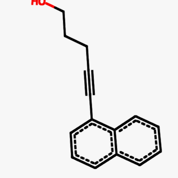 OCCCC#Cc1cccc2ccccc12